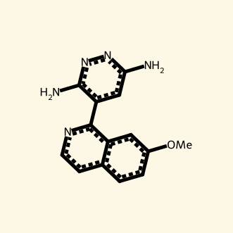 COc1ccc2ccnc(-c3cc(N)nnc3N)c2c1